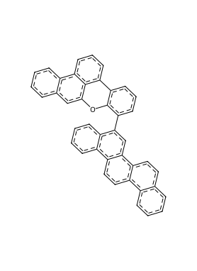 c1cc(-c2cc3c(ccc4c5ccccc5ccc43)c3ccccc23)c2c(c1)-c1cccc3c1c(cc1ccccc13)O2